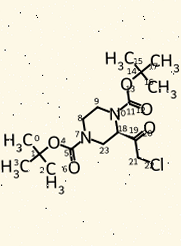 CC(C)(C)OC(=O)N1CCN(C(=O)OC(C)(C)C)[C@@H](C(=O)CCl)C1